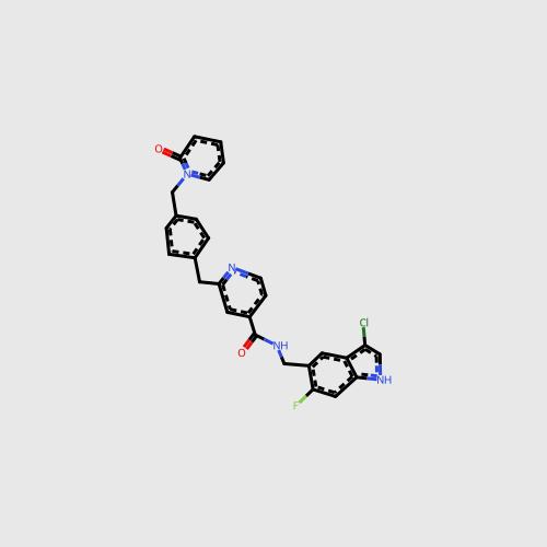 O=C(NCc1cc2c(Cl)c[nH]c2cc1F)c1ccnc(Cc2ccc(Cn3ccccc3=O)cc2)c1